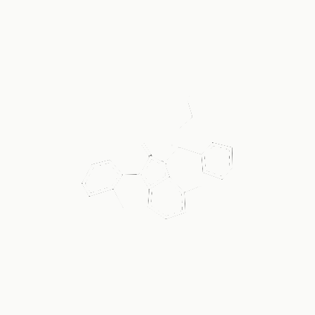 O=c1n(-c2ccccc2F)c2cccc(F)c2n1[C@H](CCCl)c1ccccc1